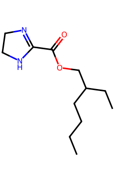 CCCCC(CC)COC(=O)C1=NCCN1